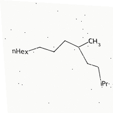 CCCCCCCCCC(C)CC[C](C)C